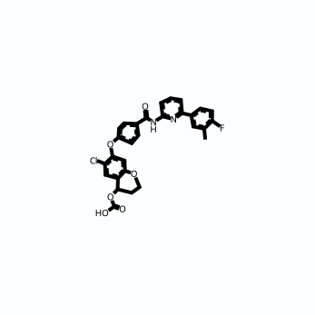 Cc1cc(-c2cccc(NC(=O)c3ccc(Oc4cc5c(cc4Cl)C(OC(=O)O)CCO5)cc3)n2)ccc1F